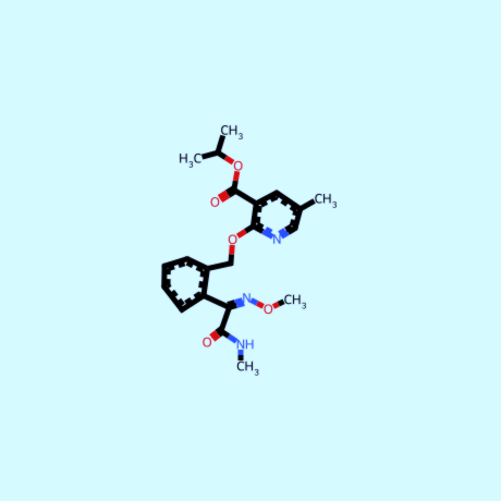 CNC(=O)C(=NOC)c1ccccc1COc1ncc(C)cc1C(=O)OC(C)C